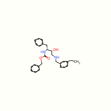 CCc1cccc(CNC[C@@H](O)[C@H](Cc2ccccc2)NC(=O)OCc2ccccc2)c1